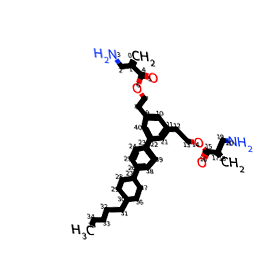 C=C(CN)C(=O)OCCc1cc(CCOC(=O)C(=C)CN)cc(-c2ccc(C3CCC(CCCCC)CC3)cc2)c1